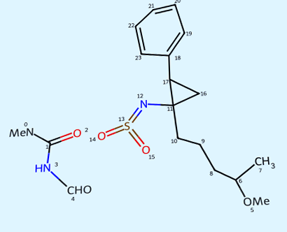 CNC(=O)NC=O.COC(C)CCCC1(N=S(=O)=O)CC1c1ccccc1